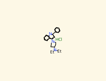 CCN(CC)C1CCN(c2cc(-c3ccccc3)nc3ccccc23)CC1.Cl